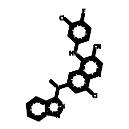 CN(c1cc(Cl)c2ncc(C#N)c(Nc3ccc(F)c(Cl)c3)c2c1)c1nnn2ccccc12